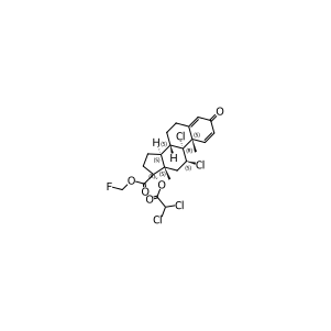 C[C@]12C=CC(=O)C=C1CC[C@H]1[C@@H]3CC[C@](OC(=O)C(Cl)Cl)(C(=O)OCF)[C@@]3(C)C[C@H](Cl)[C@@]12Cl